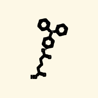 O=C([O-])CCCC(=O)O.c1ccc([S+](c2ccccc2)c2ccccc2)cc1